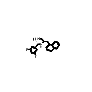 NCC(Cc1cccc2ccccc12)NCc1cc(F)cc(F)c1